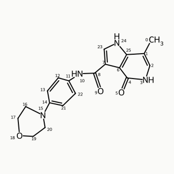 Cc1c[nH]c(=O)c2c(C(=O)Nc3ccc(N4CCOCC4)cc3)c[nH]c12